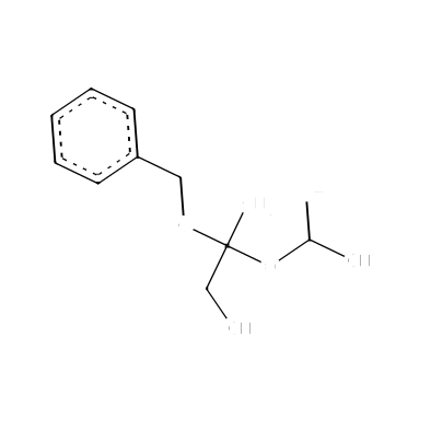 [CH2]C(CC)(OCc1ccccc1)OC(C)C